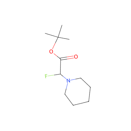 CC(C)(C)OC(=O)C(F)N1CCCCC1